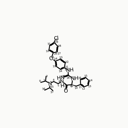 CC(C)N(CCNC(=O)[C@H](Cc1ccccc1)NC(=N)Nc1ccc(Oc2ccc(Cl)cc2)cc1)C(C)C